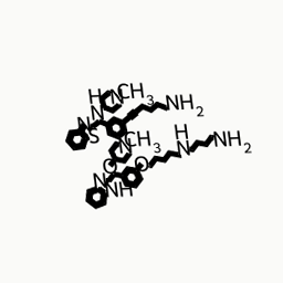 CN1CCC(NC(c2cccc(C#CCCCCN)c2)c2nc3ccccc3s2)CC1.CN1CCC(OC(c2cccc(OCCCCCNCCCCN)c2)c2nc3ccccc3[nH]2)CC1